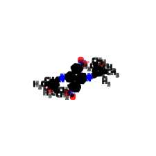 CC(C)(C)C1=CC(=C/N=N/c2ccc(-c3ccc(/N=N/C=C4C=C(C(C)(C)C)C(=O)C(C(C)(C)C)=C4)cc3-c3ccc([N+](=O)[O-])cc3)c(-c3ccc([N+](=O)[O-])cc3)c2)C=C(C(C)(C)C)C1=O